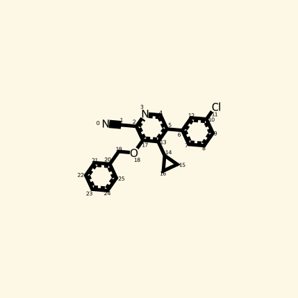 N#Cc1ncc(-c2cccc(Cl)c2)c(C2CC2)c1OCc1ccccc1